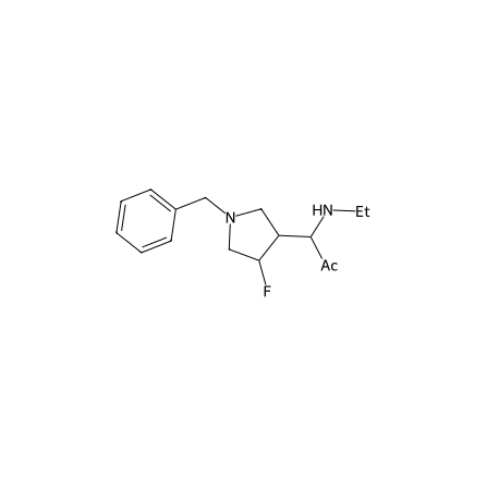 CCNC(C(C)=O)C1CN(Cc2ccccc2)CC1F